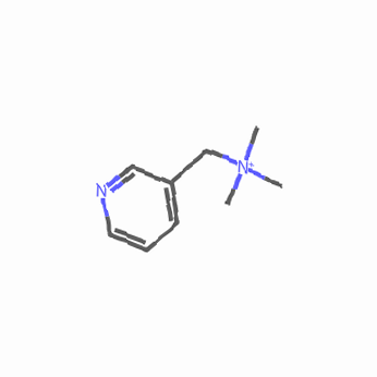 C[N+](C)(C)Cc1cccnc1